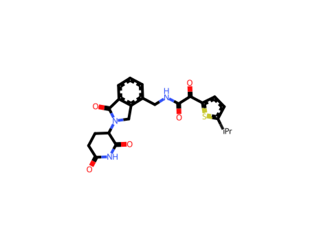 CC(C)c1ccc(C(=O)C(=O)NCc2cccc3c2CN(C2CCC(=O)NC2=O)C3=O)s1